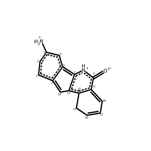 Nc1ccc2c(c1)=c1[nH]c(=O)c3c(c1C=2)CC=CC=3